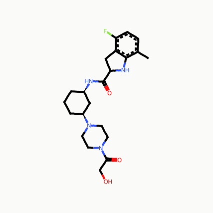 Cc1ccc(F)c2c1NC(C(=O)N[C@@H]1CCC[C@H](N3CCN(C(=O)CO)CC3)C1)C2